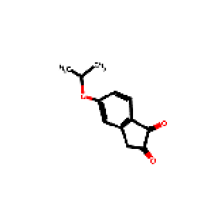 CC(C)Oc1ccc2c(c1)CC(=O)C2=O